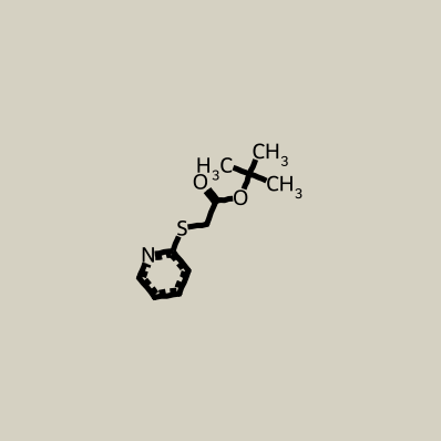 CC(C)(C)OC(=O)CSc1ccccn1